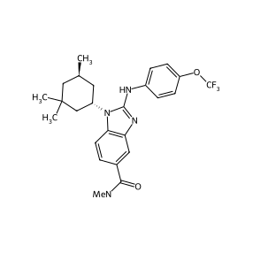 CNC(=O)c1ccc2c(c1)nc(Nc1ccc(OC(F)(F)F)cc1)n2[C@H]1C[C@H](C)CC(C)(C)C1